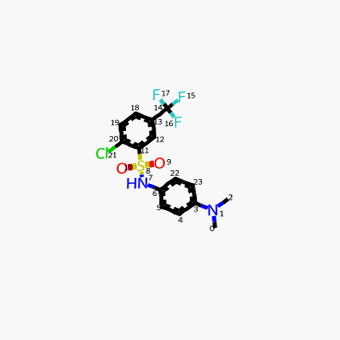 CN(C)c1ccc(NS(=O)(=O)c2cc(C(F)(F)F)ccc2Cl)cc1